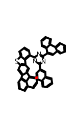 c1ccc2cc(-c3nc(-c4cc5ccccc5c5ccccc45)nc(-c4cccc5sc6cc7c(cc6c45)-c4cccc5cccc-7c45)n3)ccc2c1